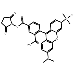 CN(C)c1ccc2c(c1)OC1=CC([N+](C)(C)[O-])C=CC1=C2c1ccc(C(=O)ON2C(=O)CCC2=O)cc1C(=O)O